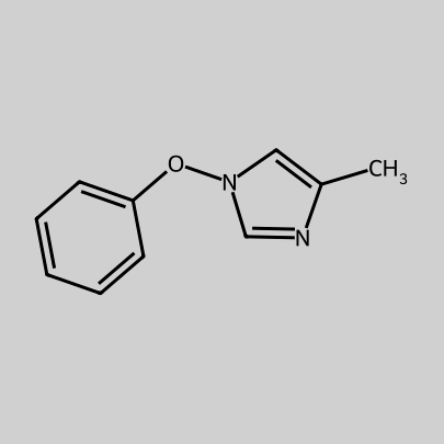 Cc1cn(Oc2ccccc2)cn1